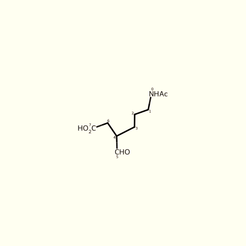 CC(=O)NCCCC(C=O)CC(=O)O